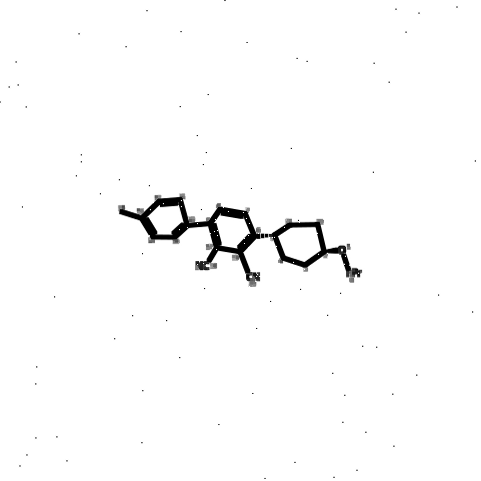 CCCO[C@H]1CC[C@H](c2ccc(-c3ccc(C)cc3)c(C#N)c2C#N)CC1